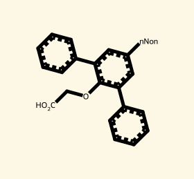 CCCCCCCCCc1cc(-c2ccccc2)c(OCC(=O)O)c(-c2ccccc2)c1